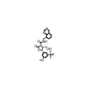 COc1cc([C@H]2OC(=O)N(C(=O)NCc3cccc4cncnc34)[C@H]2CO)cc(C(F)(F)F)c1